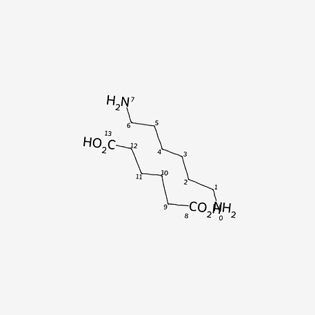 NCCCCCCN.O=C(O)CCCCC(=O)O